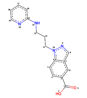 O=C(O)c1ccc2c(cnn2CCCNc2ccccn2)c1